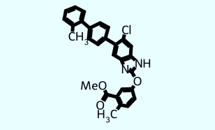 COC(=O)c1cc(Oc2nc3cc(-c4ccc(-c5ccccc5C)cc4)c(Cl)cc3[nH]2)ccc1C